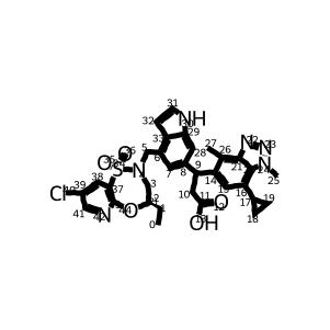 CC[C@@H]1CN(Cc2cc(C(CC(=O)O)c3cc(C4CC4)c4c(nnn4C)c3C)cc3[nH]ccc23)S(=O)(=O)c2cc(Cl)cnc2O1